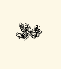 O.O.O=P(=O)O[Si]([O-])([O-])[O-].O=P(=O)O[Si]([O-])([O-])[O-].[Ca+2].[Ca+2].[Ca+2]